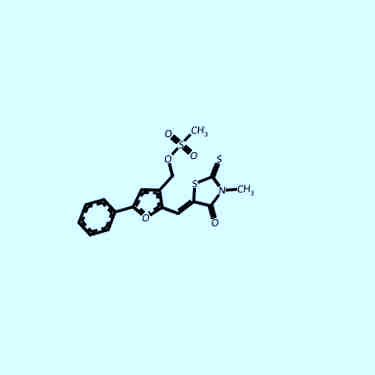 CN1C(=O)/C(=C/c2oc(-c3ccccc3)cc2COS(C)(=O)=O)SC1=S